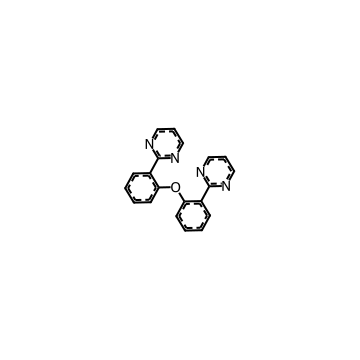 c1cnc(-c2ccccc2Oc2ccccc2-c2ncccn2)nc1